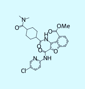 COC(=O)c1cccc2oc(C(=O)Nc3ccc(Cl)cn3)c(NC(=O)C3CCC(C(=O)N(C)C)CC3)c12